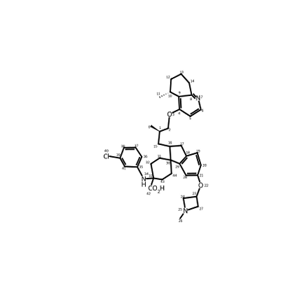 C[C@@H](COc1ccnc2c1[C@H](C)CCC2)CC1Cc2ccc(OC3CN(C)C3)cc2C12CCC(Nc1cccc(Cl)c1)(C(=O)O)CC2